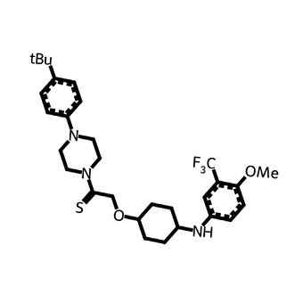 COc1ccc(NC2CCC(OCC(=S)N3CCN(c4ccc(C(C)(C)C)cc4)CC3)CC2)cc1C(F)(F)F